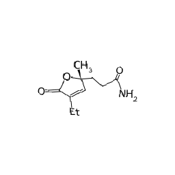 CCC1=C[C@@](C)(CCC(N)=O)OC1=O